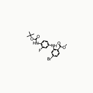 COC(=O)c1ccc(Br)cc1Nc1ccc(NC(=O)OC(C)(C)C)c(F)c1